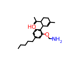 C=C(C)C1CCC(C)=CC1c1c(O)cc(CCCCC)cc1OCN